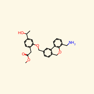 COC(=O)Cc1ccc(C(C)O)cc1OCc1ccc2c(c1)-c1cccc(CN)c1OC2